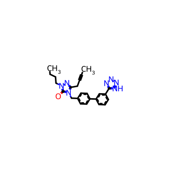 CC#CCc1nn(CCCC)c(=O)n1Cc1ccc(-c2cccc(-c3nnn[nH]3)c2)cc1